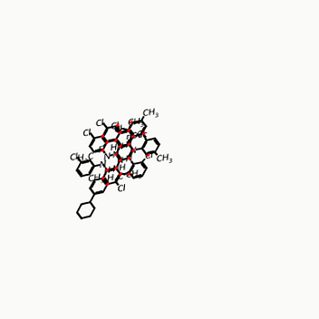 CCCCCCCCCCc1ccc(NN(c2ccc(C3CCCCC3)cc2)N(c2cc(Cl)ccc2C)N(c2ccc(Cl)cc2C)N(c2ccc(C)c(Cl)c2)N(c2cccc(Cl)c2C)N(c2c(C)cccc2Cl)N(c2cc(C)ccc2Cl)N(Nc2ccc(Cl)cc2F)c2ccc(C)cc2Cl)cc1